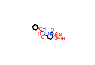 O=C(NC(=O)[C@@H]1CCC2CN1C(=O)N2OS(=O)(=O)O)Oc1ccccc1